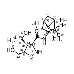 C=C1[C@H]2C[C@H](NC(=O)[C@H]3NO[C@@H](CO)[C@H]3[C@H](C)O)[C@@H](C)[C@@H]1C2